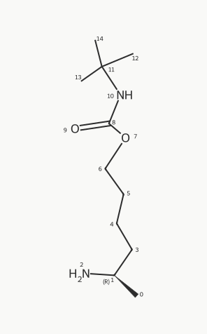 C[C@@H](N)CCCCOC(=O)NC(C)(C)C